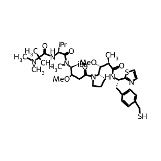 CC[C@H](C)[C@@H]([C@@H](CC(=O)N1CCC[C@H]1[C@H](OC)[C@@H](C)C(=O)N[C@@H](Cc1ccc(CS)cc1)c1nccs1)OC)N(C)C(=O)[C@@H](NC(=O)C(C)(C)N(C)C)C(C)C